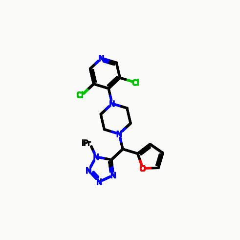 CC(C)n1nnnc1C(c1ccco1)N1CCN(c2c(Cl)cncc2Cl)CC1